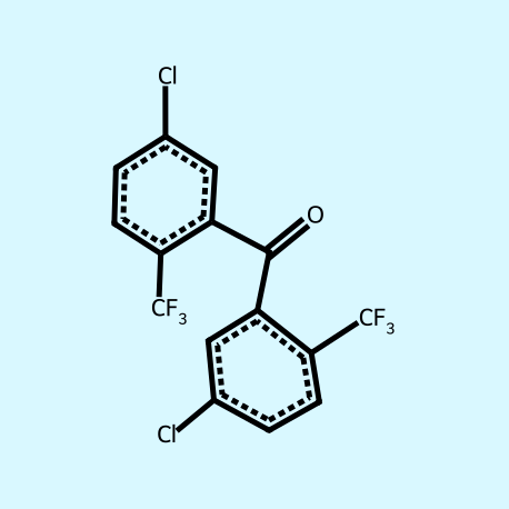 O=C(c1cc(Cl)ccc1C(F)(F)F)c1cc(Cl)ccc1C(F)(F)F